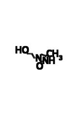 CC1CN(CCCO)C(=O)N1